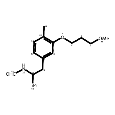 COCCCOc1cc(CC(NC=O)C(C)C)ccc1C